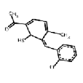 CC(=O)C1=CC=C(C)/C(=C\c2ccccc2Cl)C1S